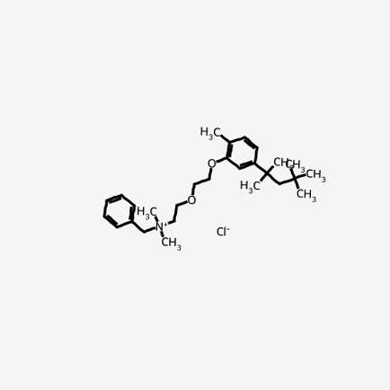 Cc1ccc(C(C)(C)CC(C)(C)C)cc1OCCOCC[N+](C)(C)Cc1ccccc1.[Cl-]